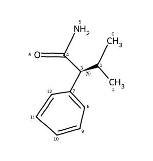 CC(C)[C@H](C(N)=O)c1ccccc1